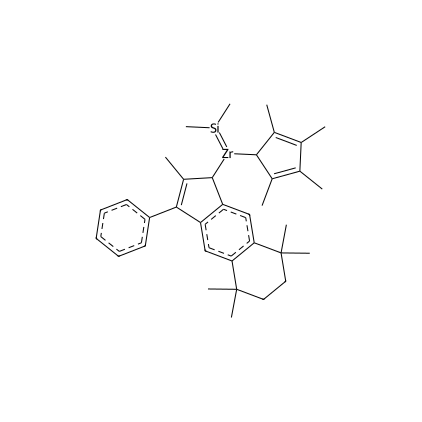 CC1=C(C)[CH]([Zr]([CH]2C(C)=C(c3ccccc3)c3cc4c(cc32)C(C)(C)CCC4(C)C)=[Si](C)C)C(C)=C1C